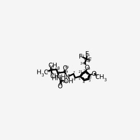 COc1ccc(CCNC(=O)C(CC(C)(C)C)NC(=O)O)cc1OCC(F)(F)F